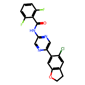 O=C(Nc1cnc(-c2cc3c(cc2Cl)CCO3)cn1)c1c(F)cccc1F